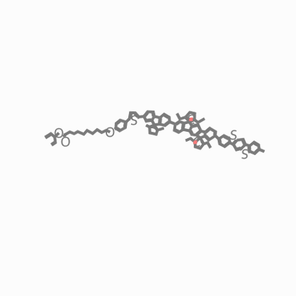 C=CC(C=C)OC(=O)CCCCCCCCCOc1ccc(-c2ccc(-c3ccc4c(c3)C3(c5cc(-c6ccc7c(c6)C6(c8cc9c(cc8-7)C7(c8cc(-c%10ccc%11c(c%10)sc%10cc%12c(cc%10%11)sc%10cc(C)ccc%10%12)ccc8-9)C8(CC)CCC7(CC)CC8)C7(CC)CCC6(CC)CC7)ccc5-4)C4(C)CCC3(C)CC4)s2)cc1